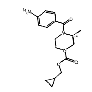 C[C@H]1CN(C(=O)OCC2CC2)CCN1C(=O)c1ccc(N)cc1